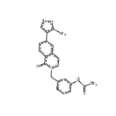 CC(=O)Nc1cccc(Cn2ccc3cc(-c4cnoc4C)ccc3c2=O)c1